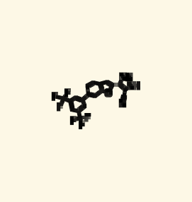 N#Cc1[nH]nnc1-c1cc2ccc(-c3cc(C(F)(F)F)cc(C(F)(F)F)c3)cc2o1